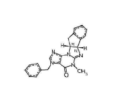 CN1C(=O)c2c(ncn2Cc2ccccc2)N2C1=N[C@H]1c3ccccc3C[C@H]12